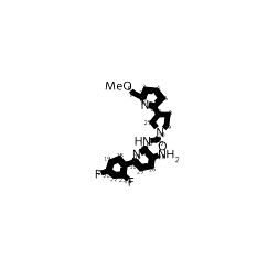 COCc1cccc(C2CCN(C(=O)Nc3nc(-c4ccc(F)cc4F)ccc3N)C2)n1